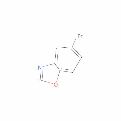 CC(C)c1ccc2o[c]nc2c1